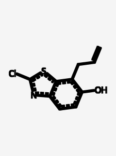 C=CCc1c(O)ccc2nc(Cl)sc12